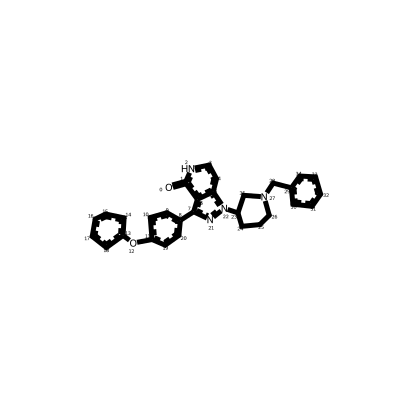 O=c1[nH]ccc2c1c(-c1ccc(Oc3ccccc3)cc1)nn2C1CCCN(Cc2ccccc2)C1